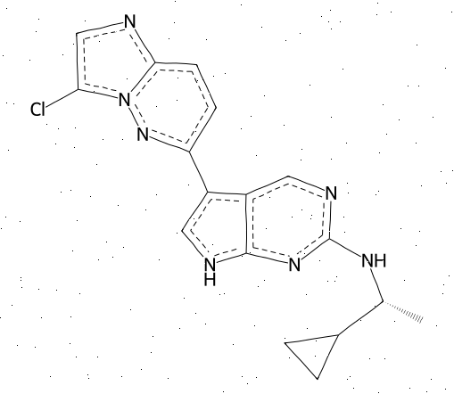 C[C@@H](Nc1ncc2c(-c3ccc4ncc(Cl)n4n3)c[nH]c2n1)C1CC1